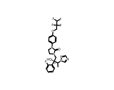 CC(n1cncn1)[C@@](O)(CN1CCN(c2ccc(OCC(F)(F)C(F)F)cc2)C1=O)c1ccccc1F